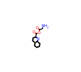 NCC(=O)OC(=O)c1ccc2ccccc2n1